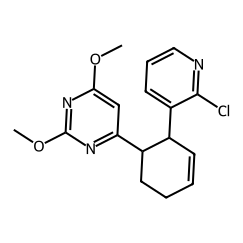 COc1cc(C2CCC=CC2c2cccnc2Cl)nc(OC)n1